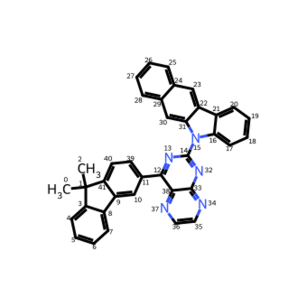 CC1(C)c2ccccc2-c2cc(-c3nc(-n4c5ccccc5c5cc6ccccc6cc54)nc4nccnc34)ccc21